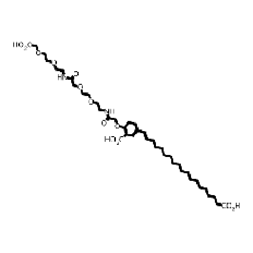 O=C(O)CCCCCCCCCCCCCCCCCCC1=CC(C(=O)O)=C(OCC(=O)NCCOCCOCC(=O)NCCOCCOCC(=O)O)CC1